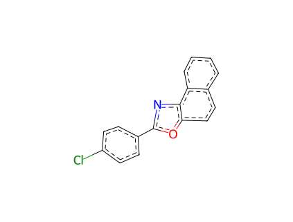 Clc1ccc(-c2nc3c(ccc4ccccc43)o2)cc1